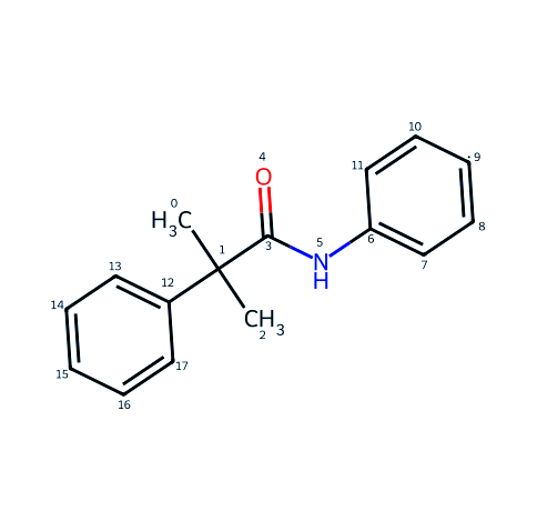 CC(C)(C(=O)Nc1cc[c]cc1)c1ccccc1